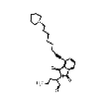 CCCC(C=O)N1C(=O)c2cccc(C#CCCCCCCN3CCCCC3)c2C1=O